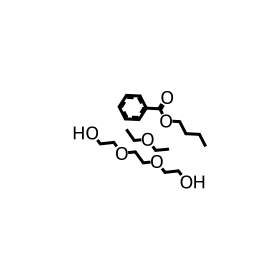 CCCCOC(=O)c1ccccc1.CCOCC.OCCOCCOCCO